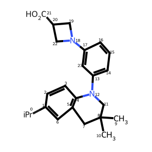 CC(C)c1ccc2c(c1)CC(C)(C)CN2c1cccc(N2CC(C(=O)O)C2)c1